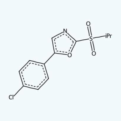 CC(C)S(=O)(=O)c1ncc(-c2ccc(Cl)cc2)o1